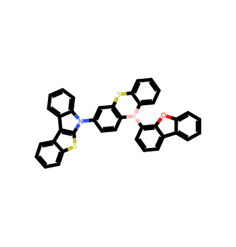 c1ccc2c(c1)Sc1cc(-n3c4ccccc4c4c5ccccc5sc43)ccc1B2c1cccc2c1oc1ccccc12